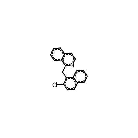 Clc1ccc2ccccc2c1Cc1nccc2ccccc12